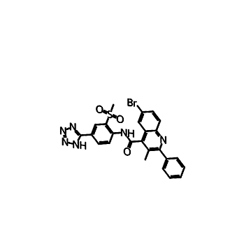 Cc1c(-c2ccccc2)nc2ccc(Br)cc2c1C(=O)Nc1ccc(-c2nnn[nH]2)cc1S(C)(=O)=O